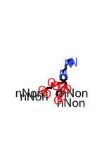 CCCCCCCCCOC(CCCOC(=O)CC1(CCOC(=O)CCC(OCCCCCCCCC)OCCCCCCCCC)CCN(CCCn2ccnc2)CC1)OCCCCCCCCC